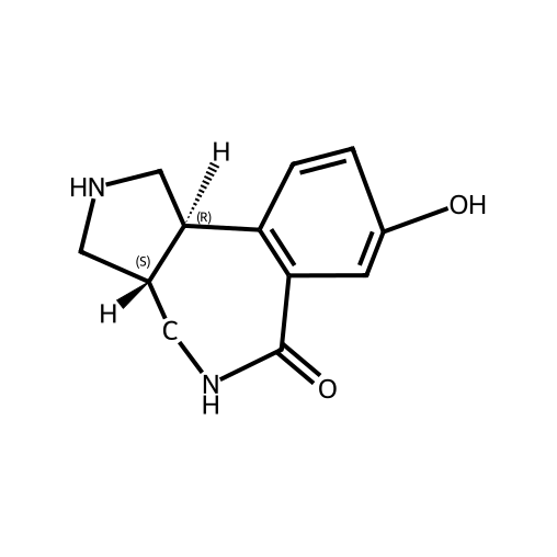 O=C1NC[C@@H]2CNC[C@H]2c2ccc(O)cc21